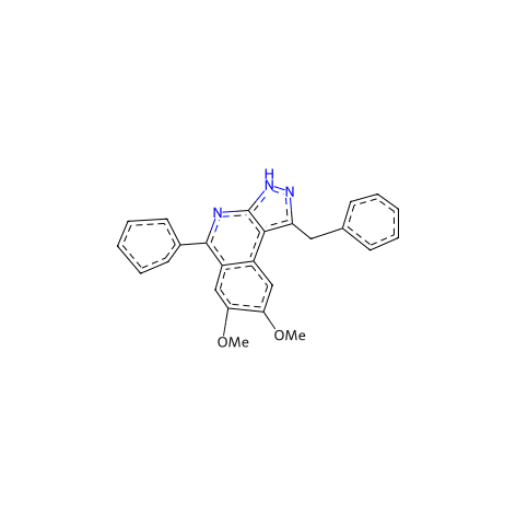 COc1cc2c(-c3ccccc3)nc3[nH]nc(Cc4ccccc4)c3c2cc1OC